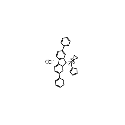 C1=CC[C]([Zr+2]([CH]2c3cc(-c4ccccc4)ccc3-c3ccc(-c4ccccc4)cc32)=[Si]2CC2)=C1.[Cl-].[Cl-]